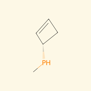 CP[C@@H]1C=CC1